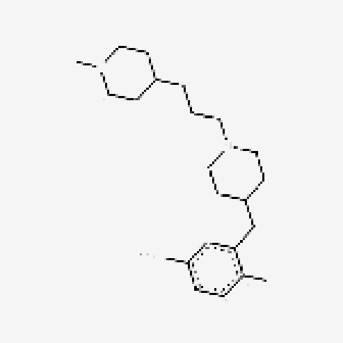 CCN1CCC(CCCN2CCC(Cc3cc(OC)ccc3Br)CC2)CC1